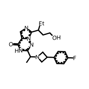 CCC(CCO)c1ncc2c(=O)[nH]c(C(C)N3CC(c4ccc(F)cc4)C3)nn12